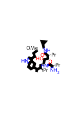 COCCCc1c[nH]c2ccc(C(C)[C@@H](C[C@H](NC(=O)[C@@H](N)C(C)C)[C@@H](O)C[C@H](C(=O)NCC3CC3)C(C)C)C(C)C)cc12